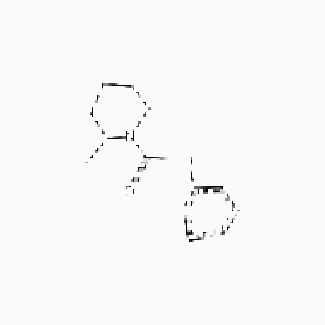 CC1CCCCN1C(=O)Oc1ccccc1